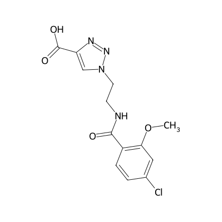 COc1cc(Cl)ccc1C(=O)NCCn1cc(C(=O)O)nn1